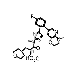 CN1CCOc2cc(-c3ccc(F)cc3-c3csc(N(C)C(=O)[C@@H](CC(=O)O)CC4CCOCC4)n3)cnc21